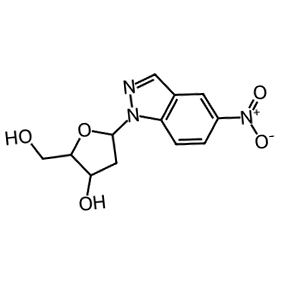 O=[N+]([O-])c1ccc2c(cnn2C2CC(O)C(CO)O2)c1